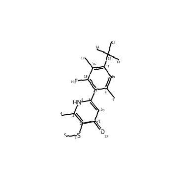 CSc1c(C)[nH]c(-c2c(C)cc(C(C)(C)C)c(C)c2F)cc1=O